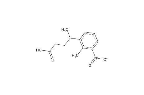 Cc1c(C(C)CCC(=O)O)cccc1[N+](=O)[O-]